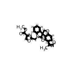 COC(=O)c1coc(CN2C(=O)C3(COc4cc5onc(C)c5cc43)c3ccccc32)n1